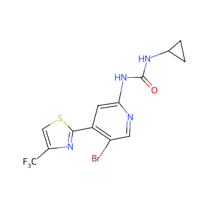 O=C(Nc1cc(-c2nc(C(F)(F)F)cs2)c(Br)cn1)NC1CC1